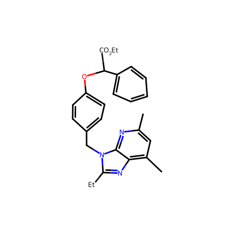 CCOC(=O)C(Oc1ccc(Cn2c(CC)nc3c(C)cc(C)nc32)cc1)c1ccccc1